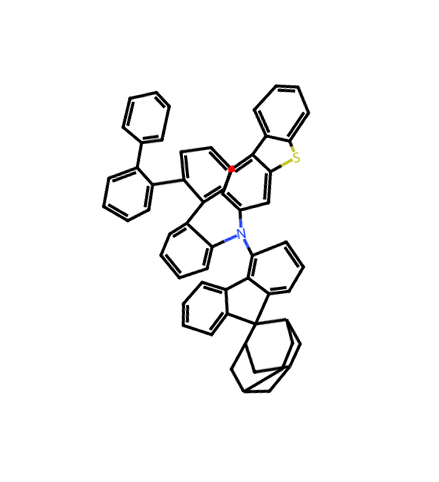 c1ccc(-c2ccccc2-c2ccccc2-c2ccccc2N(c2ccc3c(c2)sc2ccccc23)c2cccc3c2-c2ccccc2C32C3CCC4CC(C3)CC2C4)cc1